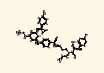 O=C(Nc1ccc(F)cc1F)C(=O)N(CCO)CCCNC(=O)c1ccc(Nc2nc(NC3(c4ccc(Cl)cc4)CC3)nc(OCC(F)(F)F)n2)cc1